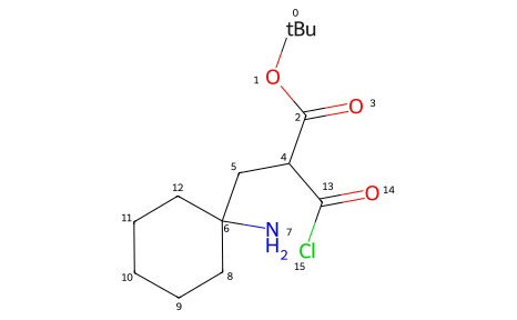 CC(C)(C)OC(=O)C(CC1(N)CCCCC1)C(=O)Cl